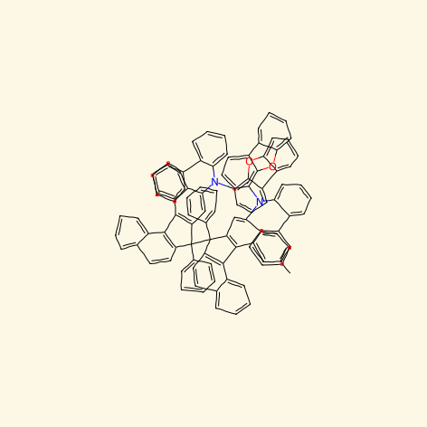 Cc1cccc(-c2ccccc2N(c2cc3c(c4ccccc24)-c2c(ccc4ccccc24)C3(c2ccccc2)C2(c3ccccc3)c3ccc4ccccc4c3-c3c2cc(N(c2ccccc2-c2ccccc2)c2cccc4c2oc2ccccc24)c2ccccc32)c2cccc3c2oc2ccccc23)c1